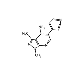 Cc1nn(C)c2ncc(-c3ccncc3)c(N)c12